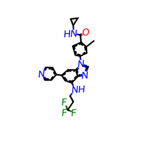 Cc1cc(-n2cnc3c(NCCC(F)(F)F)cc(-c4ccncc4)cc32)ccc1C(=O)NC1CC1